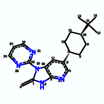 C=C1Nc2ncc([C@H]3CC[C@H](C(C)(C)C)CC3)cc2N1c1ncccn1